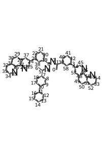 C=C(/N=C(\N=C(/C)c1ccc(-c2ccccc2)cc1)c1cccc(-c2cnc3c(ccc4cccnc43)c2)c1)c1cccc(-c2cnc3c(ccc4cccnc43)c2)c1